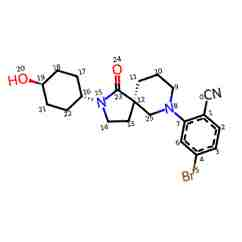 N#Cc1ccc(Br)cc1N1CCC[C@@]2(CCN([C@H]3CC[C@H](O)CC3)C2=O)C1